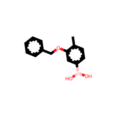 Cc1ccc(B(O)O)cc1OCc1ccccc1